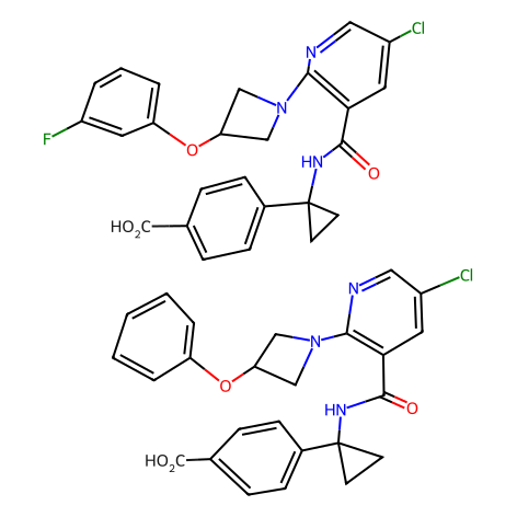 O=C(O)c1ccc(C2(NC(=O)c3cc(Cl)cnc3N3CC(Oc4cccc(F)c4)C3)CC2)cc1.O=C(O)c1ccc(C2(NC(=O)c3cc(Cl)cnc3N3CC(Oc4ccccc4)C3)CC2)cc1